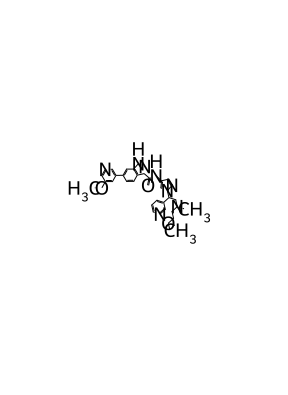 COCCN(C)CC(c1cccnc1)n1cc(NC(=O)c2n[nH]c3cc(-c4cncc(OC)c4)ccc23)cn1